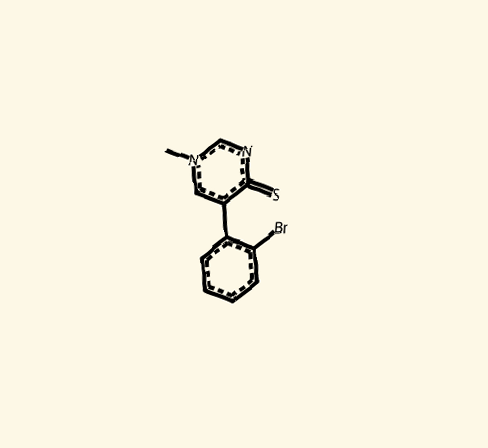 Cn1cnc(=S)c(-c2ccccc2Br)c1